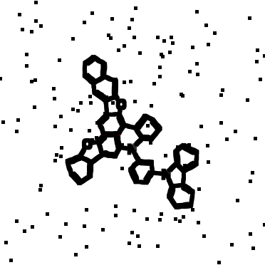 c1cc(N(c2ccc3oc4ccccc4c3c2)c2ccccc2-c2cccc3c2oc2cc4ccccc4cc23)cc(-n2c3ccccc3c3ccccc32)c1